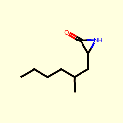 CCCCC(C)CC1NC1=O